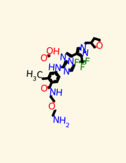 CCc1cc(Nc2nccn3c(-c4cn(CC5CCOC5)nc4C(F)(F)F)cnc23)ccc1C(=O)NCCOCCN.O=CO